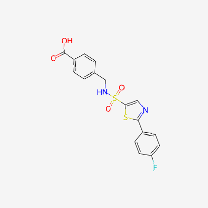 O=C(O)c1ccc(CNS(=O)(=O)c2cnc(-c3ccc(F)cc3)s2)cc1